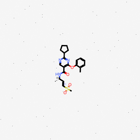 Cc1ccccc1Oc1nc(C2CCCC2)ncc1C(=O)N[C@@H](C)/C=C/S(C)(=O)=O